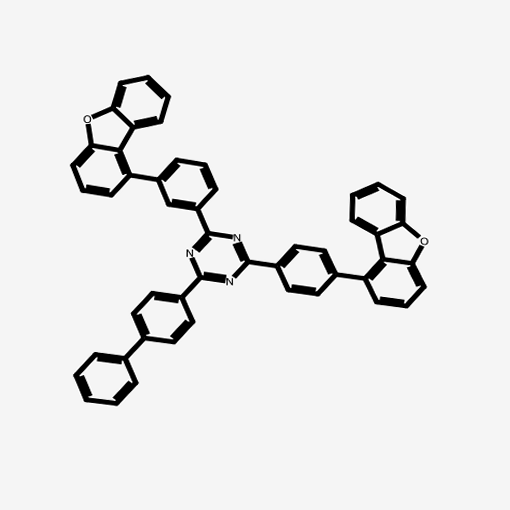 c1ccc(-c2ccc(-c3nc(-c4ccc(-c5cccc6oc7ccccc7c56)cc4)nc(-c4cccc(-c5cccc6oc7ccccc7c56)c4)n3)cc2)cc1